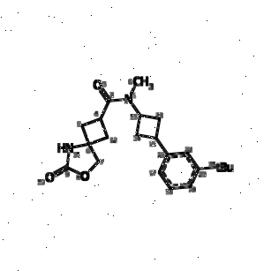 CN(C(=O)C1CC2(COC(=O)N2)C1)C1CC(c2cccc(C(C)(C)C)c2)C1